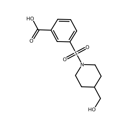 O=C(O)c1cccc(S(=O)(=O)N2CCC(CO)CC2)c1